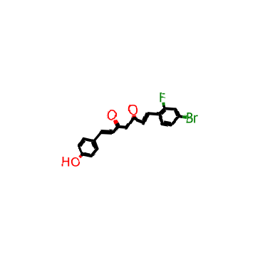 O=C(C=Cc1ccc(O)cc1)CC(=O)C=Cc1ccc(Br)cc1F